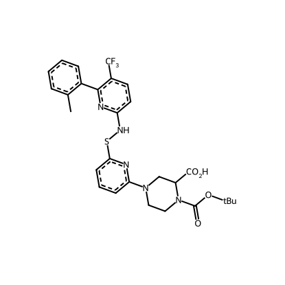 Cc1ccccc1-c1nc(NSc2cccc(N3CCN(C(=O)OC(C)(C)C)C(C(=O)O)C3)n2)ccc1C(F)(F)F